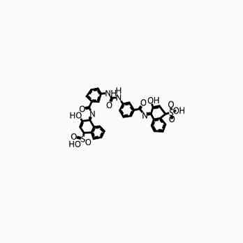 O=C(Nc1cccc(C(=O)N=C2C(O)=CC(S(=O)(=O)O)c3ccccc32)c1)Nc1cccc(C(=O)N=C2C(O)=CC(S(=O)(=O)O)c3ccccc32)c1